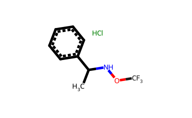 CC(NOC(F)(F)F)c1ccccc1.Cl